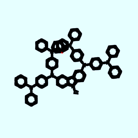 CCn1c2ccc(N(c3ccc(N(c4ccccc4)c4ccccc4)cc3)c3ccc(N(c4ccccc4)c4ccccc4)cc3)cc2c2cc(N(c3ccc(N(c4ccccc4)c4ccccc4)cc3)c3ccc(N(c4ccccc4)c4ccccc4)cc3)ccc21